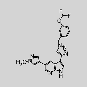 Cn1cc(-c2cnc3[nH]cc(-c4cn(Cc5cccc(OC(F)F)c5)nn4)c3c2)cn1